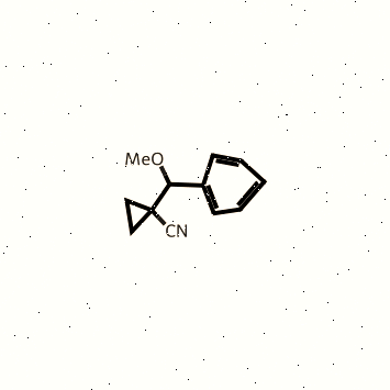 COC(c1ccccc1)C1(C#N)CC1